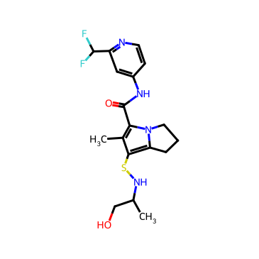 Cc1c(SNC(C)CO)c2n(c1C(=O)Nc1ccnc(C(F)F)c1)CCC2